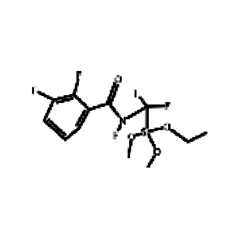 CCO[Si](OC)(OC)C(F)(F)N(F)C(=O)c1cccc(F)c1F